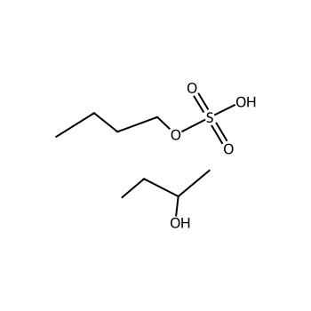 CCC(C)O.CCCCOS(=O)(=O)O